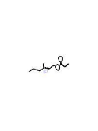 CCC/C(C)=C/COC(=O)CC